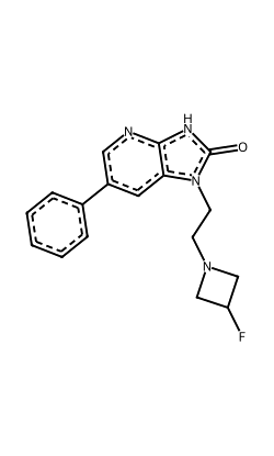 O=c1[nH]c2ncc(-c3ccccc3)cc2n1CCN1CC(F)C1